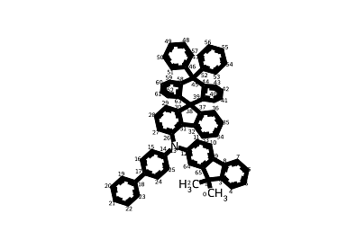 CC1(C)c2ccccc2-c2ccc(N(c3ccc(-c4ccccc4)cc3)c3cccc4c3-c3ccccc3C43c4ccccc4C(c4ccccc4)(c4ccccc4)c4ccccc43)cc21